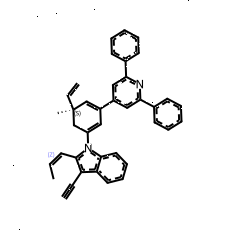 C#Cc1c(/C=C\C)n(C2=CC(c3cc(-c4ccccc4)nc(-c4ccccc4)c3)=C[C@](C)(C=C)C2)c2ccccc12